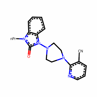 CCCn1c(=O)n(N2CCN(c3ncccc3C#N)CC2)c2ccccc21